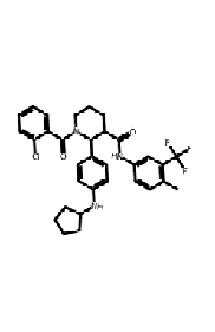 Cc1ccc(NC(=O)C2CCCN(C(=O)c3ccccc3Cl)C2c2ccc(NC3CCCC3)cc2)cc1C(F)(F)F